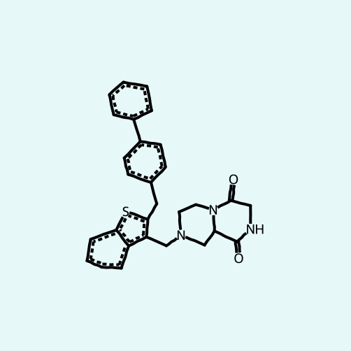 O=C1NCC(=O)N2CCN(Cc3c(Cc4ccc(-c5ccccc5)cc4)sc4ccccc34)CC12